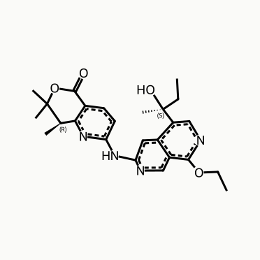 CCOc1ncc([C@@](C)(O)CC)c2cc(Nc3ccc4c(n3)[C@@H](C)C(C)(C)OC4=O)ncc12